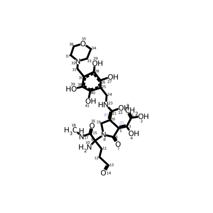 C=C(O)/C(O)=C1/C(=O)N(C(N)(CCC=O)C(=O)NC)C/C1=C(/O)NCc1c(O)c(O)c(CN2CCOCC2)c(O)c1O